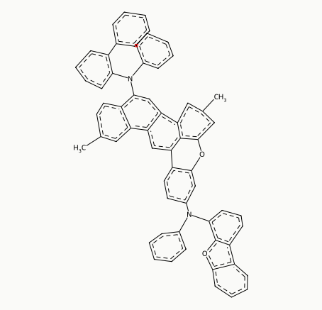 Cc1ccc2c(N(c3ccccc3)c3ccccc3-c3ccccc3)cc3c4cc(C)cc5c4c(cc3c2c1)-c1ccc(N(c2ccccc2)c2cccc3c2oc2ccccc23)cc1O5